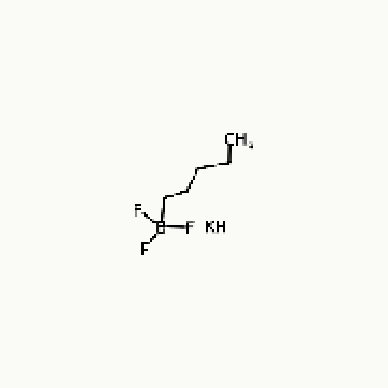 CCCCC[B-](F)(F)F.[KH]